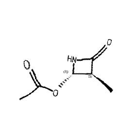 CC(=O)O[C@@H]1NC(=O)[C@H]1C